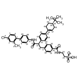 Cc1cc(Cl)ccc1-c1ccc(NC(=O)C(Cc2ccc(C(=O)NCCS(=O)(=O)O)cc2)c2ccc(C3=CC[C@H](C(C)(C)C)CC3)cc2)cc1